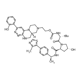 Cc1ncsc1-c1ccc([C@H](C)NC(=O)[C@@H]2C[C@@H](O)CN2C(=O)[C@H](NC(=O)OCCN2CCN3c4cc(-c5ccccc5O)nnc4NC[C@H]3C2)C(C)(C)C)cc1